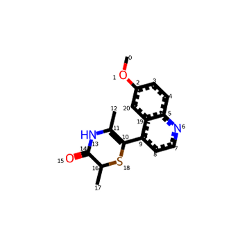 COc1ccc2nccc(C3=C(C)NC(=O)C(C)S3)c2c1